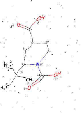 CC(C)(C)C1CC(C(=O)O)CCN1C(=O)O